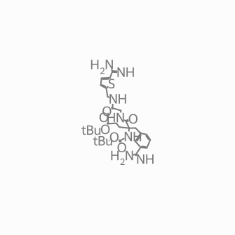 CC(C)(C)OC(=O)CCC(Cc1cccc(C(=N)N)c1)(NC(=O)OC(C)(C)C)C(=O)NCC(=O)NCc1ccc(C(=N)N)s1